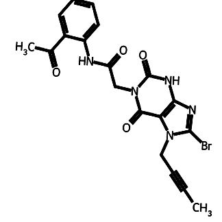 CC#CCn1c(Br)nc2[nH]c(=O)n(CC(=O)Nc3ccccc3C(C)=O)c(=O)c21